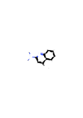 CN(C)c1cc(C(C)(C)C)c2ccccc2n1